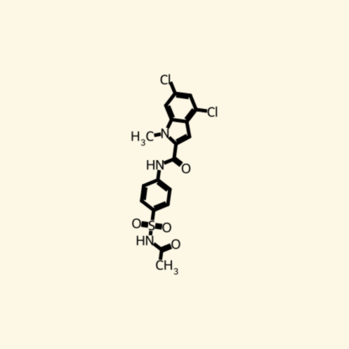 CC(=O)NS(=O)(=O)c1ccc(NC(=O)c2cc3c(Cl)cc(Cl)cc3n2C)cc1